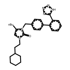 CCCCc1cn(CCC2CCCCC2)c(=O)n1Cc1ccc(-c2ccccc2-c2nnn[nH]2)cc1